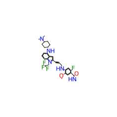 CNC(=O)c1cc(OC)c(NCC#Cc2cc3c(N[C@H]4CC[C@H](N(C)C)CC4)cccc3n2CC(F)(F)F)cc1F